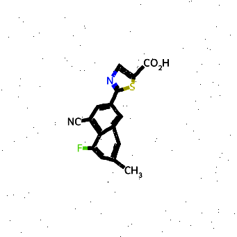 Cc1cc(F)c2c(C#N)cc(-c3ncc(C(=O)O)s3)cc2c1